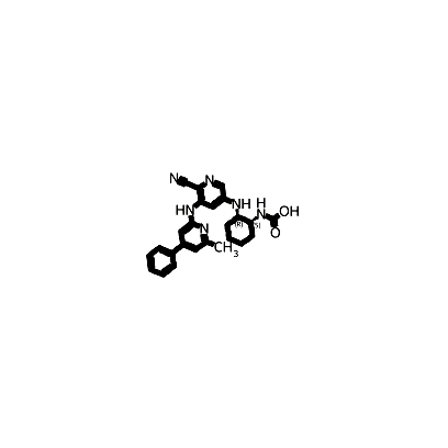 Cc1cc(-c2ccccc2)cc(Nc2cc(N[C@@H]3CCCC[C@@H]3NC(=O)O)cnc2C#N)n1